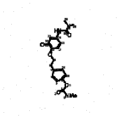 CNC(=O)Oc1ccc(CCOc2ccc(NC(=O)N(C)C)cc2Cl)cc1